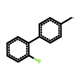 [CH2]c1ccc(-c2ccccc2F)cc1